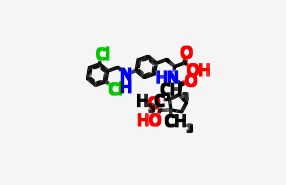 CC1(C(=O)O)CCC(C(=O)N[C@@H](Cc2ccc(NCc3c(Cl)cccc3Cl)cc2)C(=O)O)C1(C)C